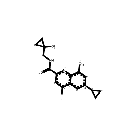 O=C(NCC1(O)CC1)c1cc(Cl)c2cc(C3CC3)cc(C(F)(F)F)c2n1